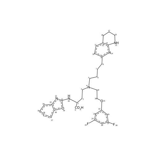 O=C(O)C(CCN(CCCCc1ccc2c(n1)NCCC2)CCOc1cc(F)cc(F)c1)Nc1nc2ccccc2o1